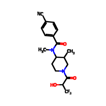 CC1CN(C(=O)C(O)C(F)(F)F)CCC1N(C)C(=O)c1ccc(C#N)cc1